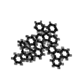 c1ccc2c(c1)-c1ccccc1C21c2ccccc2-c2c(N(c3ccc4c5ccccc5c5ccccc5c4c3)c3cccc4c3-c3ccccc3C43c4ccccc4-n4c5ccccc5c5cccc3c54)cccc21